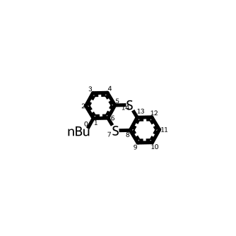 [CH2]CCCc1cccc2c1Sc1ccccc1S2